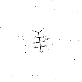 FC(F)C(F)(F)C(F)(F)C(F)(F)C(F)(F)F.I